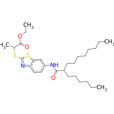 CCCCCCCCC(CCCCCC)C(=O)Nc1ccc2nc(SC(C)C(=O)OCC)sc2c1